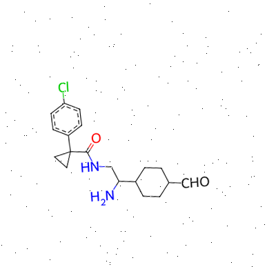 NC(CNC(=O)C1(c2ccc(Cl)cc2)CC1)C1CCC(C=O)CC1